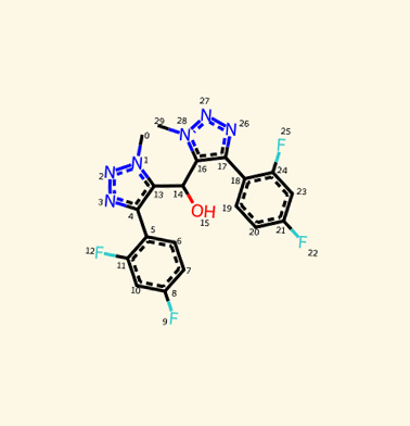 Cn1nnc(-c2ccc(F)cc2F)c1C(O)c1c(-c2ccc(F)cc2F)nnn1C